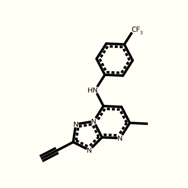 C#Cc1nc2nc(C)cc(Nc3ccc(C(F)(F)F)cc3)n2n1